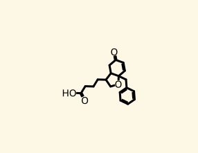 O=C(O)CCCC1COC2(Cc3ccccc3)C=CC(=O)CC12